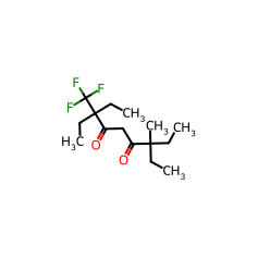 CCC(C)(CC)C(=O)CC(=O)C(CC)(CC)C(F)(F)F